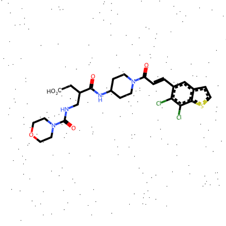 O=C(O)CC(CNC(=O)N1CCOCC1)C(=O)NC1CCN(C(=O)/C=C/c2cc3ccsc3c(Cl)c2Cl)CC1